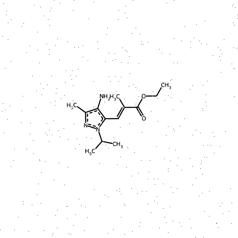 CCOC(=O)/C(C)=C/c1c(N)c(C)nn1C(C)C